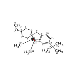 COC1CCC2(CC1)Cc1ccc(C(C)(C)C)cc1C21N=C(N)N(C)O1